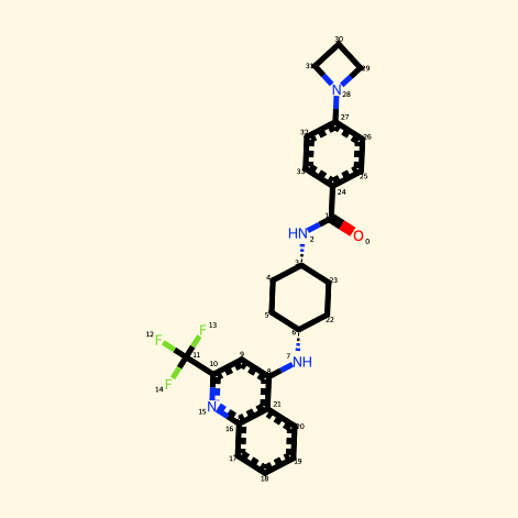 O=C(N[C@H]1CC[C@@H](Nc2cc(C(F)(F)F)nc3ccccc23)CC1)c1ccc(N2CCC2)cc1